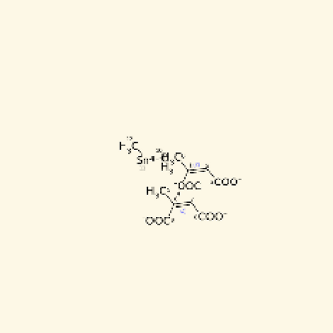 C/C(=C/C(=O)[O-])C(=O)[O-].C/C(=C/C(=O)[O-])C(=O)[O-].[CH3][Sn+4][CH3]